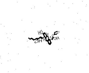 CCCCC[C@@H](O)CC[C@@H]1[C@H]2Cc3cccc(OCC(O)OC4CCOC4)c3C[C@H]2C[C@H]1O